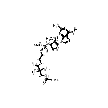 CCOc1nc(N)nc2c1ncn2[C@@H]1OC[C@@H](O[P@](=O)(OC)OCCSC(=O)C(C)(C)CNC(=O)OC)[C@@]1(C)Cl